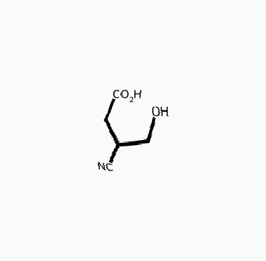 N#CC(CO)CC(=O)O